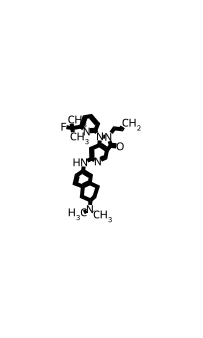 C=CCn1c(=O)c2cnc(Nc3ccc4c(c3)CCC(N(C)C)C4)cc2n1-c1cccc(C(C)(C)F)n1